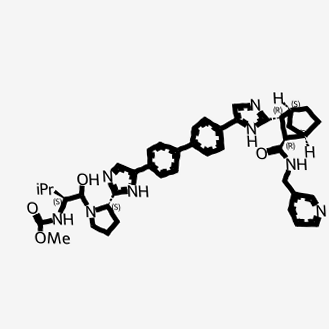 COC(=O)N[C@@H](C(C)C)C(O)N1CCC[C@H]1c1ncc(-c2ccc(-c3ccc(-c4cnc([C@@H]5[C@H]6CC[C@H](C6)[C@H]5C(=O)NCc5cccnc5)[nH]4)cc3)cc2)[nH]1